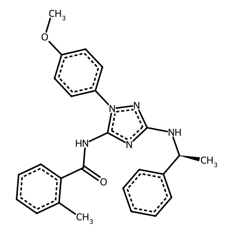 COc1ccc(-n2nc(N[C@@H](C)c3ccccc3)nc2NC(=O)c2ccccc2C)cc1